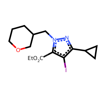 CCOC(=O)c1c(I)c(C2CC2)nn1CC1CCCOC1